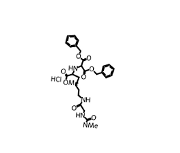 CNC(=O)NCC(=O)NCCCCC(NC(C(=O)OCc1ccccc1)C(=O)OCc1ccccc1)C(=O)OC.Cl